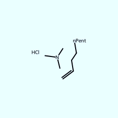 C=CCCCCCCC.CN(C)C.Cl